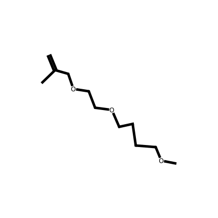 C=C(C)COCCOCCCCOC